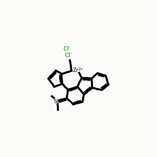 CCC1=C(c2c3c(ccc2=[Si](C)C)=c2ccccc2=[C]3[Zr+2])CC=C1.[Cl-].[Cl-]